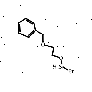 CC[SiH2]OCCOCc1ccccc1